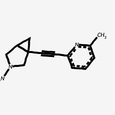 Cc1cccc(C#CC23CC2CN(N)C3)n1